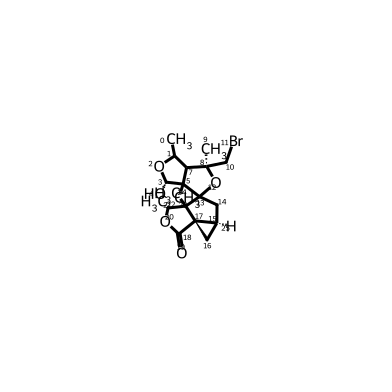 CC1O[C@@H](O)C2(C)C1[C@@](C)(CBr)OC21C[C@H]2C[C@]23C(=O)OC(C)C13C